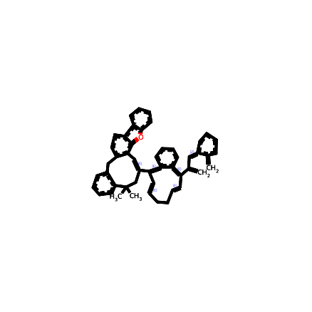 C=C(/C=c1/ccccc1=C)C1=c2/cccc/c2=C(\C2=C\c3c(ccc4c3oc3ccccc34)Cc3ccccc3C(C)(C)C2)/C=C/CC/C=C/1